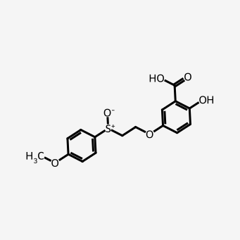 COc1ccc([S+]([O-])CCOc2ccc(O)c(C(=O)O)c2)cc1